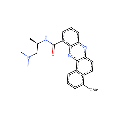 COc1cccc2c1ccc1nc3cccc(C(=O)N[C@H](C)CN(C)C)c3nc12